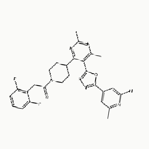 Cc1cc(-c2nnc(-c3c(C)nc(C)nc3C3CCN(C(=O)Cc4c(F)cccc4F)CC3)o2)cc(Cl)n1